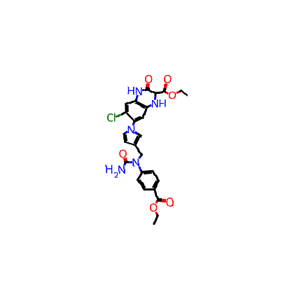 CCOC(=O)c1ccc(N(Cc2ccn(-c3cc4c(cc3Cl)NC(=O)C(C(=O)OCC)N4)c2)C(N)=O)cc1